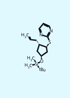 C=CC[C@H]1C[C@H](O[Si](C)(C)C(C)(C)C)C[C@@H]1Sc1ncccn1